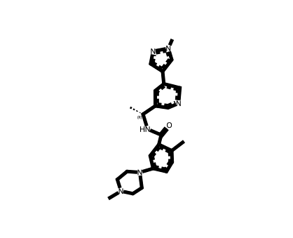 Cc1ccc(N2CCN(C)CC2)cc1C(=O)N[C@H](C)c1cncc(-c2cnn(C)c2)c1